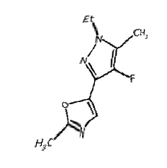 CCn1nc(-c2cnc(C)o2)c(F)c1C